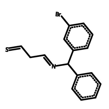 S=CCC=NC(c1ccccc1)c1cccc(Br)c1